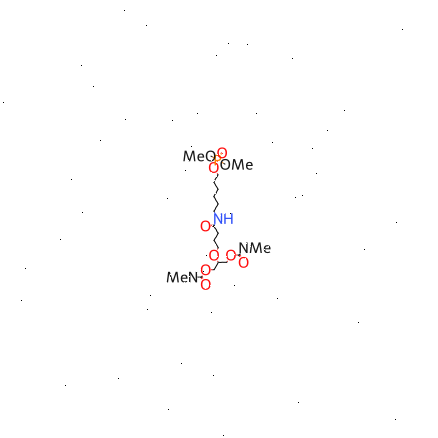 CNC(=O)OCC(COC(=O)NC)OCCCC(=O)NCCCCCCOP(=O)(OC)OC